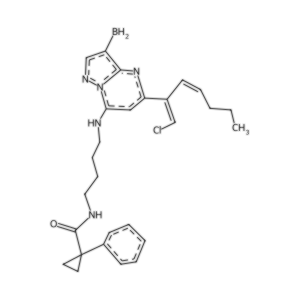 Bc1cnn2c(NCCCCNC(=O)C3(c4ccccc4)CC3)cc(C(/C=C\CCC)=C\Cl)nc12